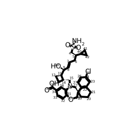 NS(=O)(=O)C[C@H](C/C=C/[C@H](O)[C@@H]1CC[C@H]1CN1C[C@@]2(CCCc3cc(Cl)ccc32)COc2ccc(C(=O)O)cc21)C1CC1